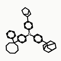 c1ccc(C2(c3ccc(N(c4ccc(C5CC6CCC5C6)cc4)c4ccc(C56CC7CC(CC(C7)C5)C6)cc4)cc3)CCCCCCC2)cc1